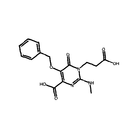 CNc1nc(C(=O)O)c(OCc2ccccc2)c(=O)n1CCC(=O)O